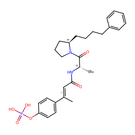 C/C(=C\C(=O)N[C@H](C(=O)N1CCC[C@H]1CCCCc1ccccc1)C(C)(C)C)c1ccc(OP(=O)(O)O)cc1